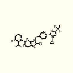 CC(C)c1c(F)cccc1-c1ncc2sc(=O)n(Cc3ccc(-c4nc(C(F)(F)F)cn4C4CC4)nc3)c2n1